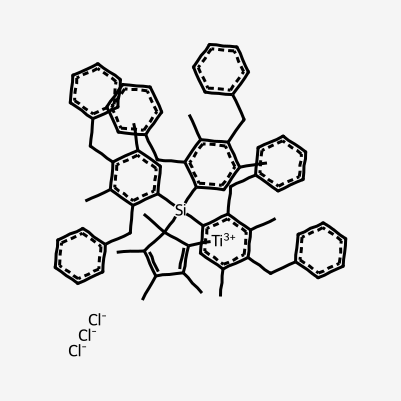 CC1=C(C)C(C)([Si](c2cc(C)c(Cc3ccccc3)c(C)c2Cc2ccccc2)(c2cc(C)c(Cc3ccccc3)c(C)c2Cc2ccccc2)c2cc(C)c(Cc3ccccc3)c(C)c2Cc2ccccc2)[C]([Ti+3])=C1C.[Cl-].[Cl-].[Cl-]